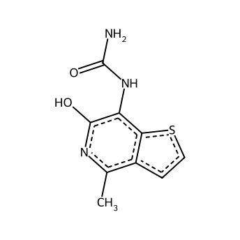 Cc1nc(O)c(NC(N)=O)c2sccc12